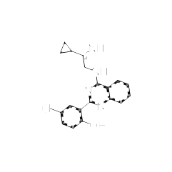 N[C@@H](CNc1nc(-c2cc(Cl)ccc2O)nc2ccccc12)C1CC1